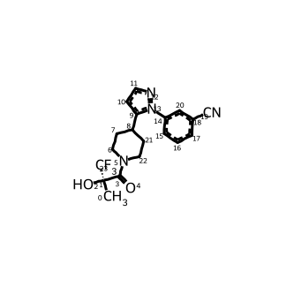 C[C@@](O)(C(=O)N1CCC(c2ccnn2-c2cccc(C#N)c2)CC1)C(F)(F)F